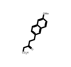 COc1ccc2cc(CCC(=O)CC(=O)O)ccc2c1